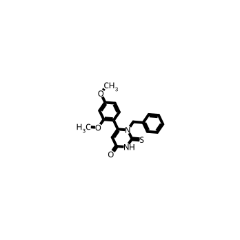 COc1ccc(-c2cc(=O)[nH]c(=S)n2Cc2ccccc2)c(OC)c1